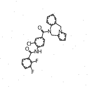 O=C(Nc1ccc(C(=O)N2Cc3cccn3Cc3ccccc32)cc1Cl)c1cccc(F)c1F